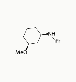 CO[C@H]1CCC[C@@H](NC(C)C)C1